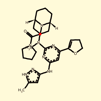 Cc1cc(Nc2cc(C3=CCCO3)nc(N(C)C3C[C@H]4CCC[C@@H](C3)N4CC(=O)N3CCCC3)n2)n[nH]1